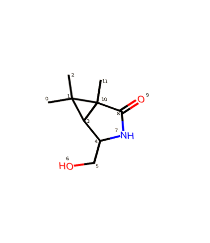 CC1(C)C2C(CO)NC(=O)C21C